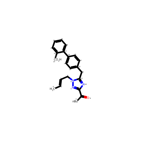 C/C=C/Cn1nc(C(=O)CCCC)nc1Cc1ccc(-c2ccccc2C(=O)O)cc1